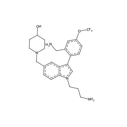 NCCCn1cc(-c2ccc(OC(F)(F)F)cc2CN)c2cc(CN3CCC(O)CC3)ccc21